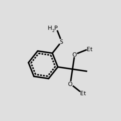 CCOC(C)(OCC)c1ccccc1SP